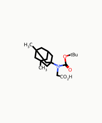 CC12CC3CC(C)(C1)CC(N(CC(=O)O)C(=O)OC(C)(C)C)(C3)C2